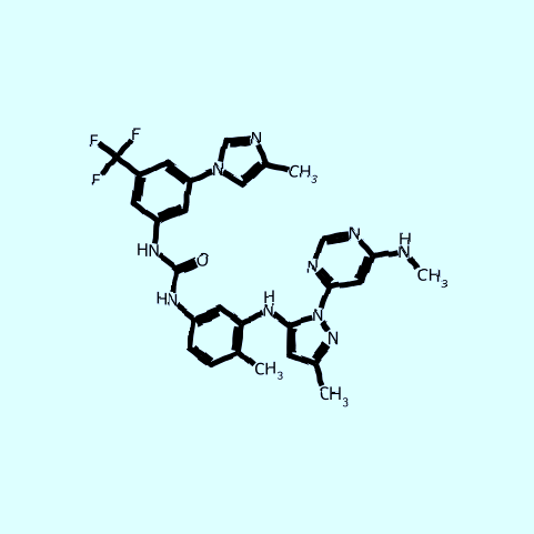 CNc1cc(-n2nc(C)cc2Nc2cc(NC(=O)Nc3cc(-n4cnc(C)c4)cc(C(F)(F)F)c3)ccc2C)ncn1